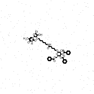 CC[C@H]1O[C@@H](n2cc(C)c(=O)[nH]c2=O)[C@@H](OCCCCCCNC(=O)CCCCO[C@@H]2O[C@H](COC(=O)c3ccccc3)[C@H](OC(=O)c3ccccc3)[C@H](OC(=O)c3ccccc3)[C@H]2C)C1O